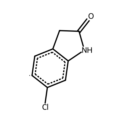 O=C1Cc2c[c]c(Cl)cc2N1